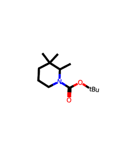 CC1N(C(=O)OC(C)(C)C)CCCC1(C)C